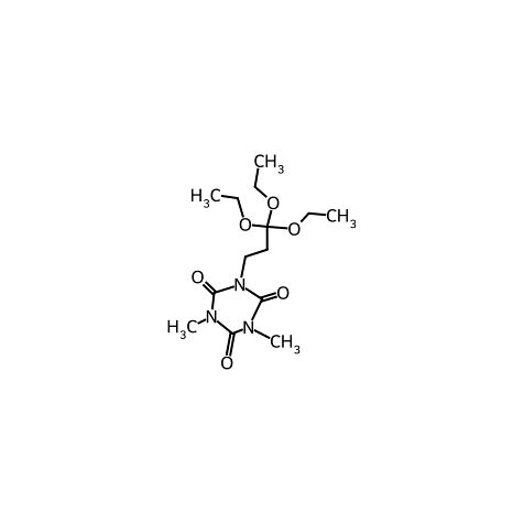 CCOC(CCn1c(=O)n(C)c(=O)n(C)c1=O)(OCC)OCC